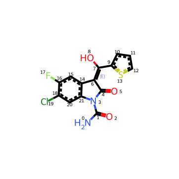 NC(=O)N1C(=O)/C(=C(/O)c2cccs2)c2cc(F)c(Cl)cc21